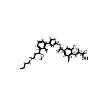 CCCCOCCC(OC)c1cccc(-c2csc(NC(=O)c3cc(F)c(/C=C(\C)C(=O)O)c(F)c3)n2)c1F